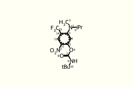 CC(C)N(C)c1cc(OC(=O)NC(C)(C)C)c([N+](=O)[O-])cc1C(F)(F)F